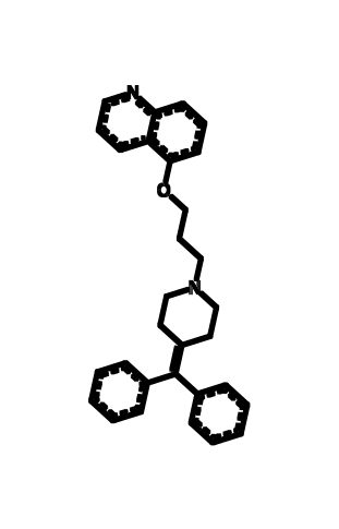 c1ccc(C(=C2CCN(CCCOc3cccc4ncccc34)CC2)c2ccccc2)cc1